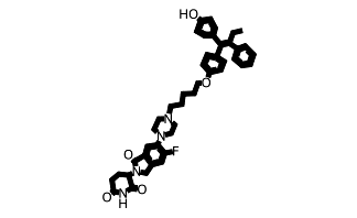 CC/C(=C(\c1ccc(O)cc1)c1ccc(OCCCCCN2CCN(c3cc4c(cc3F)CN(C3CCC(=O)NC3=O)C4=O)CC2)cc1)c1ccccc1